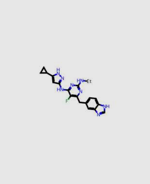 CCNc1nc(Cc2ccc3[nH]cnc3c2)c(F)c(Nc2cc(C3CC3)[nH]n2)n1